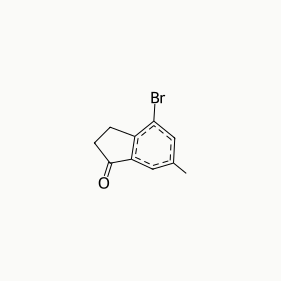 Cc1cc(Br)c2c(c1)C(=O)CC2